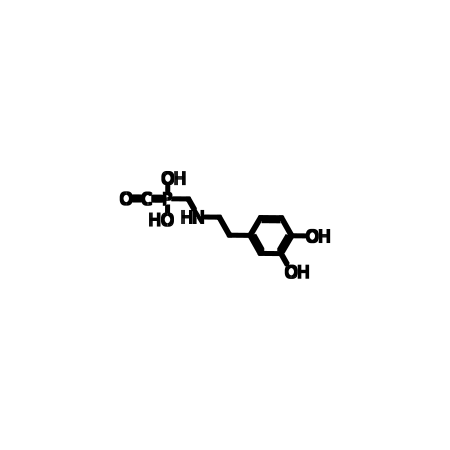 O=C=P(O)(O)CNCCc1ccc(O)c(O)c1